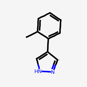 Cc1ccccc1-c1[c]n[nH]c1